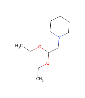 CCOC(CN1CCCCC1)OCC